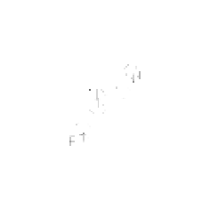 Fc1ccc(-c2ccn3c(-c4cccc(-n5cccn5)c4)cnc3c2)cn1